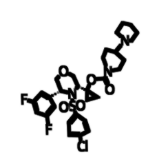 O=C(OC1([C@H]2COC[C@@H](c3cc(F)cc(F)c3)N2S(=O)(=O)c2ccc(Cl)cc2)CC1)N1CCC(N2CCCCC2)CC1